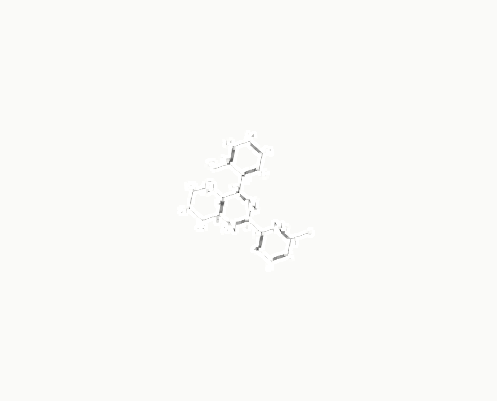 Cc1cccc(-c2nc3c(c(-c4ccccc4C)n2)OCCC3)n1